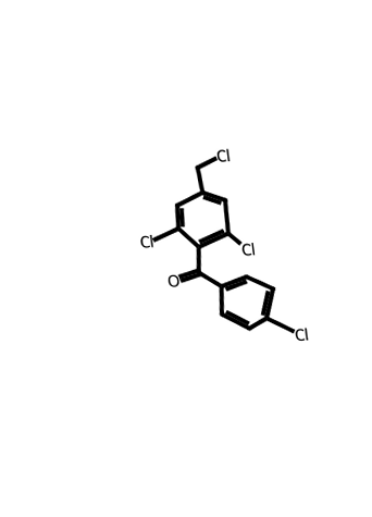 O=C(c1ccc(Cl)cc1)c1c(Cl)cc(CCl)cc1Cl